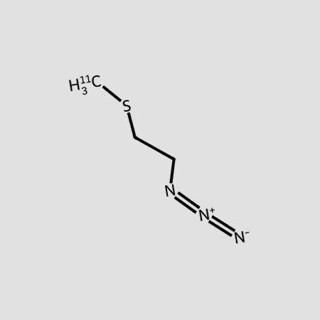 [11CH3]SCCN=[N+]=[N-]